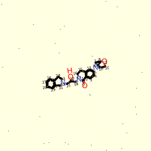 O=C1c2ccc(N3CC4CC3CO4)cc2CCN1CC(O)CN1CCc2ccccc2C1